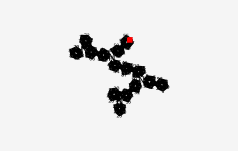 c1ccc(-c2ccc(N(c3ccc(-c4ccc5c(c4)c4ccccc4n5-c4ccccc4)cc3)c3cccc(-c4ccc(-c5cccc(N(c6ccc(-c7ccccc7)cc6)c6ccc(-c7ccc8c(c7)c7ccccc7n8-c7ccccc7)cc6)c5)cc4)c3)cc2)cc1